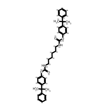 CC(C)(c1ccccc1)c1ccc(OC(=O)NCCCCCCNC(=O)Oc2ccc(C(C)(C)c3ccccc3)cc2)cc1